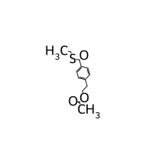 CCSC(=O)c1ccc(CCOC(C)=O)cc1